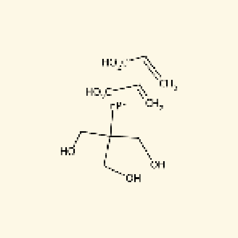 C=CC(=O)O.C=CC(=O)O.CCCC(CO)(CO)CO